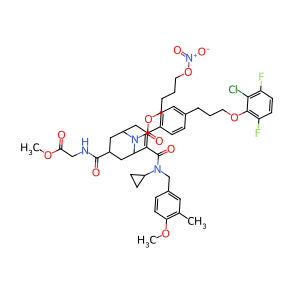 COC(=O)CNC(=O)C1CC2CC(c3ccc(CCCOc4c(F)ccc(F)c4Cl)cc3)=C(C(=O)N(Cc3ccc(OC)c(C)c3)C3CC3)C(C1)N2C(=O)OCCCCO[N+](=O)[O-]